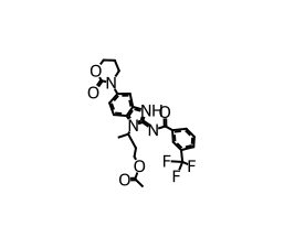 CC(=O)OCCC(C)n1c(=NC(=O)c2cccc(C(F)(F)F)c2)[nH]c2cc(N3CCCOC3=O)ccc21